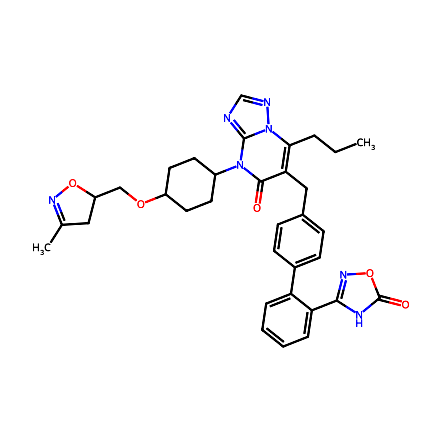 CCCc1c(Cc2ccc(-c3ccccc3-c3noc(=O)[nH]3)cc2)c(=O)n(C2CCC(OCC3CC(C)=NO3)CC2)c2ncnn12